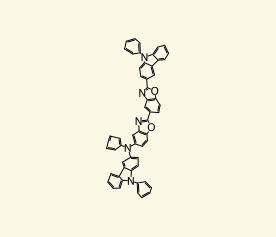 c1ccc(N(c2ccc3oc(-c4ccc5oc(-c6ccc7c(c6)c6ccccc6n7-c6ccccc6)nc5c4)nc3c2)c2ccc3c(c2)c2ccccc2n3-c2ccccc2)cc1